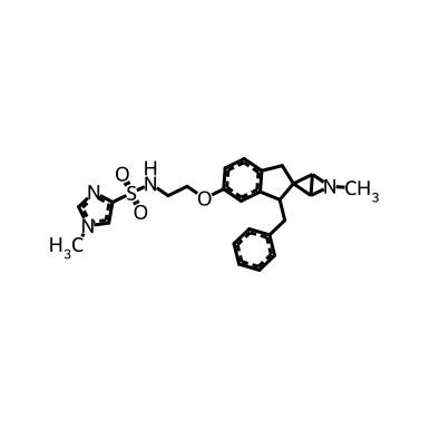 CN1C2C1C21Cc2ccc(OCCNS(=O)(=O)c3cn(C)cn3)cc2C1Cc1ccccc1